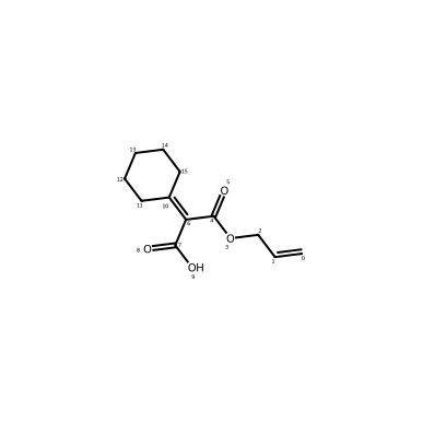 C=CCOC(=O)C(C(=O)O)=C1CCCCC1